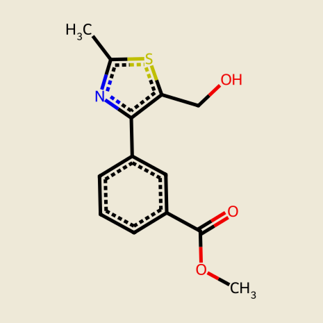 COC(=O)c1cccc(-c2nc(C)sc2CO)c1